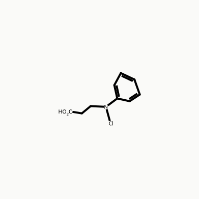 O=C(O)CCN(Cl)c1ccccc1